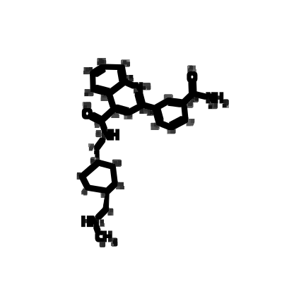 CNC[C@H]1CC[C@H](CNC(=O)c2cc(-c3cccc(C(N)=O)c3)nc3ccccc23)CC1